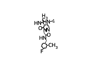 CC(=N)c1c(NC2CC2)cnn(CC(=O)NCc2ccc(F)cc2C)c1=O